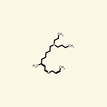 C/C=C\C/N=C\C=C(/C)CCCCCN(CCC)CCCC